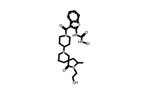 CCNC(=O)Nc1sc2ccccc2c1C(=O)N1CCC(N2CCCC3(CC(C)N(CCO)C3=O)C2)CC1